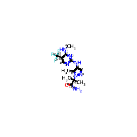 CNc1nc(Nc2cnn(C(C)(C)C(N)=O)c2C)ncc1C(F)(F)F